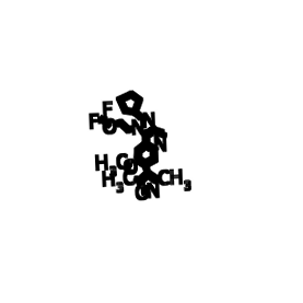 COc1cc2c(cc1-c1c(C)noc1C)ncc1nc(C3CCCC3)n(CCOC(F)F)c12